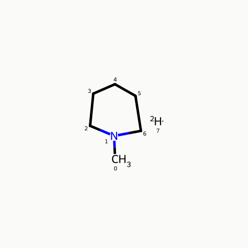 CN1CCCCC1.[2H]